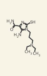 CCN(CC)CCCn1c(S)nc(C(N)=O)c1N